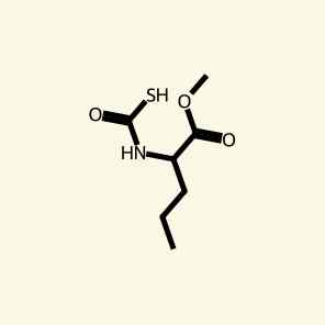 CCCC(NC(=O)S)C(=O)OC